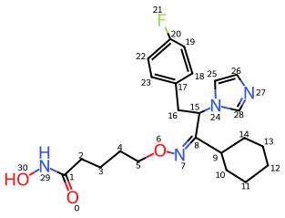 O=C(CCCCON=C(C1CCCCC1)C(Cc1ccc(F)cc1)n1ccnc1)NO